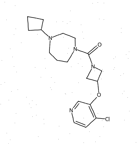 O=C(N1CCCN(C2CCC2)CC1)N1CC(Oc2cnccc2Cl)C1